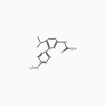 CN(C)c1ccc(NC(=O)C(=O)O)cc1-c1ccc(OC(F)(F)F)cc1